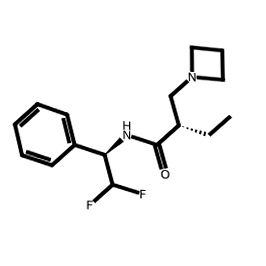 CC[C@@H](CN1CCC1)C(=O)N[C@H](c1ccccc1)C(F)F